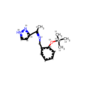 CC(=NCc1ccccc1O[Si](C)(C)C)c1cc[nH]n1